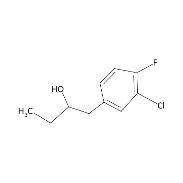 CCC(O)Cc1ccc(F)c(Cl)c1